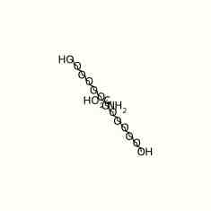 NCC(=O)O.OCCOCCOCCOCCOCCOCCOCCOCCOCCOCCOCCOCCO